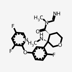 CN[C@@]1(c2cc(Oc3ncc(F)cc3F)ccc2F)COCC[C@H]1C(=O)N(C)C=N